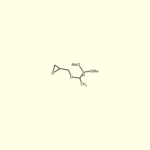 CO[SiH](OC)C(C)OCC1CO1